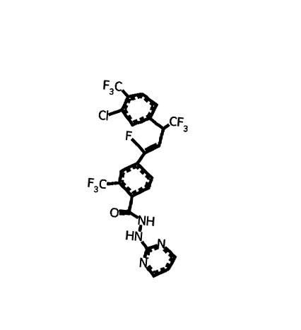 O=C(NNc1ncccn1)c1ccc(C(F)=CC(c2ccc(C(F)(F)F)c(Cl)c2)C(F)(F)F)cc1C(F)(F)F